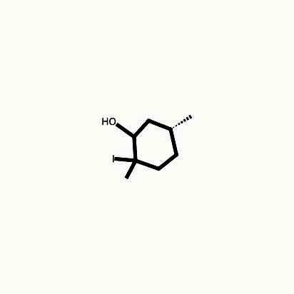 C[C@@H]1CCC(C)(I)C(O)C1